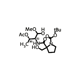 COC(O)[C@@H](NC(=O)C1(CO)CCCN1C(=O)OC(C)(C)C)[C@@H](C)OC(C)=O